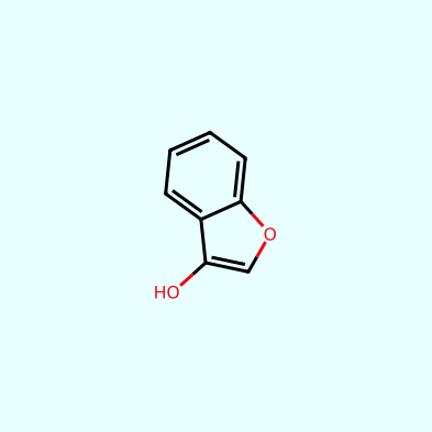 Oc1coc2ccccc12